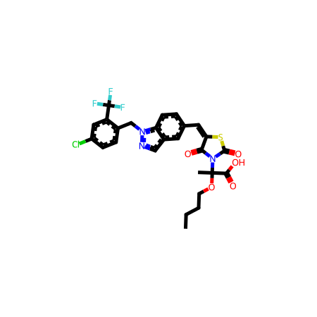 CCCCOC(C)(C(=O)O)N1C(=O)SC(=Cc2ccc3c(cnn3Cc3ccc(Cl)cc3C(F)(F)F)c2)C1=O